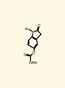 COC(=O)Oc1ccc2c(c1)CC(=O)N2C(C)=O